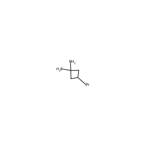 BC1(B)CC(C(C)C)C1